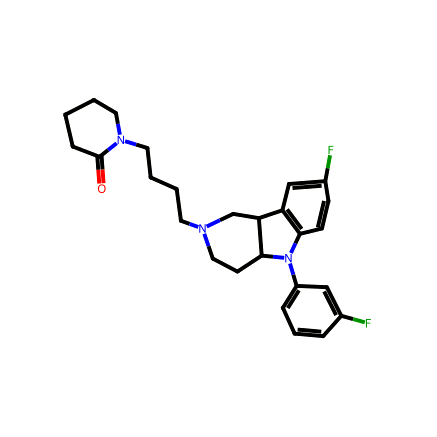 O=C1CCCCN1CCCCN1CCC2C(C1)c1cc(F)ccc1N2c1cccc(F)c1